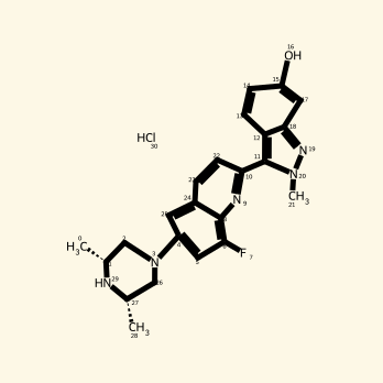 C[C@@H]1CN(c2cc(F)c3nc(-c4c5ccc(O)cc5nn4C)ccc3c2)C[C@H](C)N1.Cl